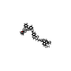 CCN(CCCNC[C@H](O)c1ccc(O)c2[nH]c(=O)ccc12)C(=O)c1ccc(COc2cccc(C(NC(=O)O[C@H]3CN4CCC3CC4)c3ccccc3)c2)cc1